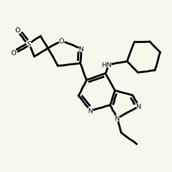 CCn1ncc2c(NC3CCCCC3)c(C3=NOC4(C3)CS(=O)(=O)C4)cnc21